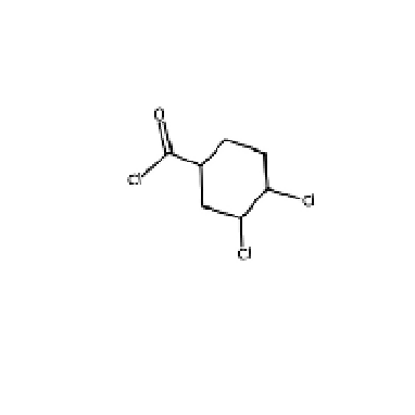 O=C(Cl)C1CCC(Cl)C(Cl)C1